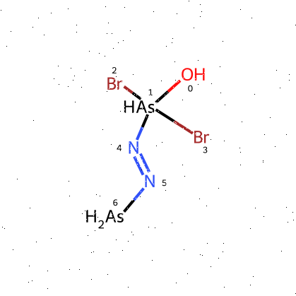 O[AsH](Br)(Br)N=N[AsH2]